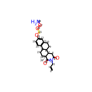 C=CCN1C(=O)CC2C3CCc4cc(OSOON)ccc4C3CC[C@]2(C)C1=O